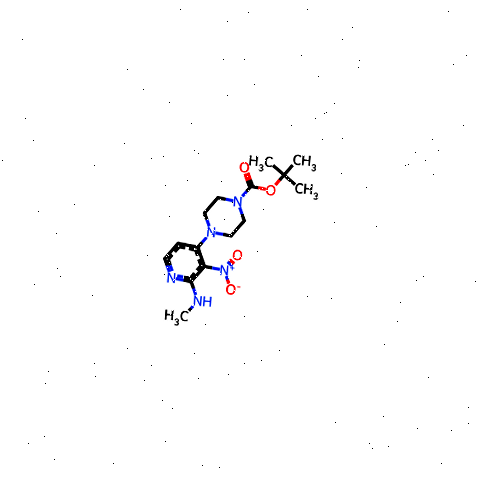 CNc1nccc(N2CCN(C(=O)OC(C)(C)C)CC2)c1[N+](=O)[O-]